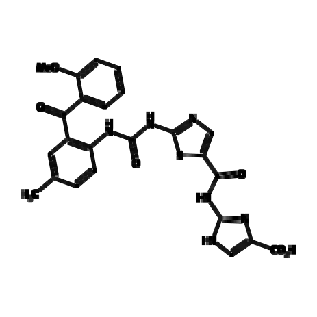 COc1ccccc1C(=O)c1cc(C)ccc1NC(=O)Nc1ncc(C(=O)Nc2nc(C(=O)O)c[nH]2)s1